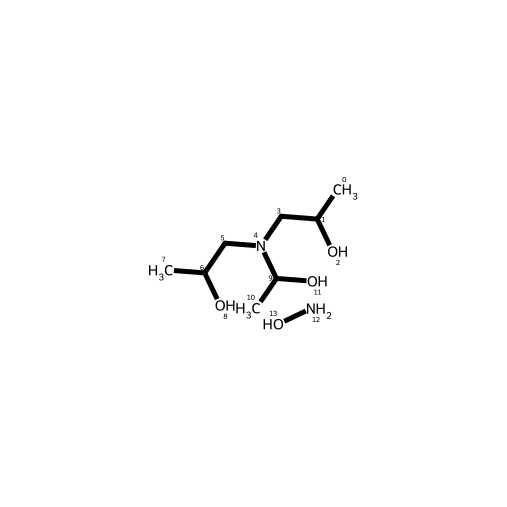 CC(O)CN(CC(C)O)C(C)O.NO